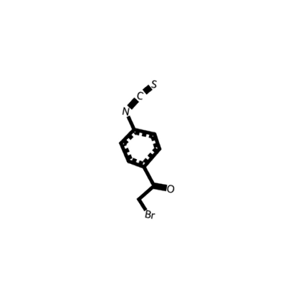 O=C(CBr)c1ccc(N=C=S)cc1